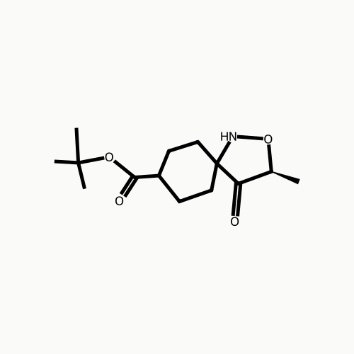 C[C@@H]1ONC2(CCC(C(=O)OC(C)(C)C)CC2)C1=O